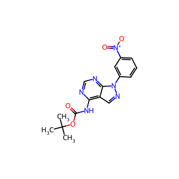 CC(C)(C)OC(=O)Nc1ncnc2c1cnn2-c1cccc([N+](=O)[O-])c1